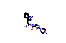 CCCC(Cc1cn(C)c2ccccc12)NC(=O)c1cnc(N2CCN(C)CC2)s1